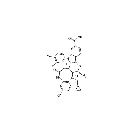 C[C@@H]1Oc2c3ccc(C(=O)O)cc3nn2[C@H]2[C@@H]1N(CC1CC1)c1ccc(Cl)cc1NC(=O)[C@@H]2c1cccc(Cl)c1F